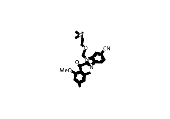 COc1cc(C)cc(C)c1C(=O)c1nc2ccc(C#N)cc2n1COCC[Si](C)(C)C